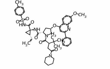 C=C[C@@H]1C[C@]1(NC(=O)[C@@H]1C[C@@H](Oc2cc(-c3ccccc3)nc3cc(OC)ccc23)CN1C(=O)C(CC(=O)N1CCCCC1)C(C)(C)C)C(=O)NS(=O)(=O)c1ccc(C)cc1